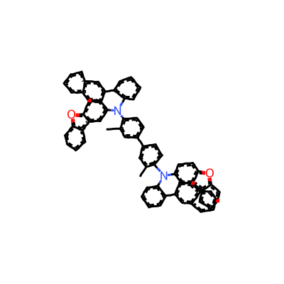 Cc1cc(-c2ccc(N(c3ccc4oc5ccccc5c4c3)c3ccccc3-c3ccc4ccccc4c3)c(C)c2)ccc1N(c1ccc2oc3ccccc3c2c1)c1ccccc1-c1ccc2ccccc2c1